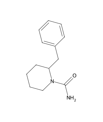 NC(=O)N1CCCCC1Cc1ccccc1